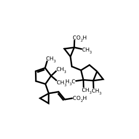 CC1(C(=O)O)CC1CC1CC2CC2(C)C1(C)C.CC1=CCC(C2(C=CC(=O)O)CC2)C1(C)C